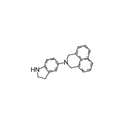 c1cc2c3c(cccc3c1)CN(c1ccc3c(c1)CCN3)C2